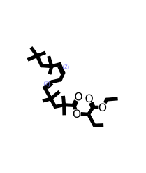 CCOC(=O)C(CC)OC(=O)C(C)(C)CC(C)(C)/C=C\C/C=C\C(C)(C)CC(C)(C)C